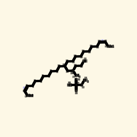 CCCCCCCC/C=C\CCCCCCCCC(CCCCCCCC/C=C\CCCCCCCC)CN(C)CCO.COS(=O)(=O)O